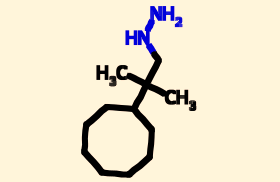 CC(C)(CNN)C1CCCCCCC1